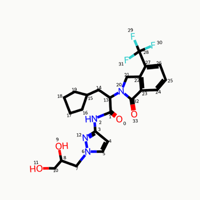 O=C(Nc1ccn(CC(O)CO)n1)C(CC1CCCC1)N1Cc2c(cccc2C(F)(F)F)C1=O